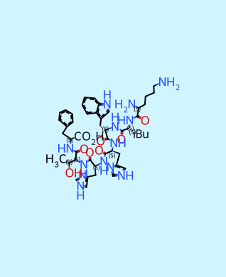 CC[C@H](C)[C@H](NC(=O)[C@@H](N)CCCCN)C(=O)N[C@@H](Cc1c[nH]c2ccccc12)C(=O)N[C@@H](Cc1c[nH]cn1)C(=O)N[C@@H](Cc1c[nH]cn1)C(=O)N[C@H](C(=O)N[C@@H](Cc1ccccc1)C(=O)O)[C@@H](C)O